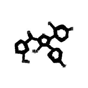 COc1cccc(C(=O)c2nn(-c3ccc(Cl)cc3Cl)c(-c3ccc(Br)cc3)c2C)c1